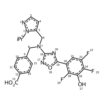 CC(C)n1nccc1CN(Cc1ccc(C(=O)O)cc1)c1noc(-c2cc(F)c(F)c(O)c2F)n1